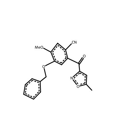 COc1cc(C#N)c(C(=O)c2cc(C)on2)cc1OCc1ccccc1